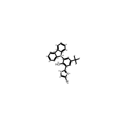 CC(C)(C)c1cc(-c2nc(Br)cs2)c(O)c(-n2c3ccccc3c3ccccc32)c1